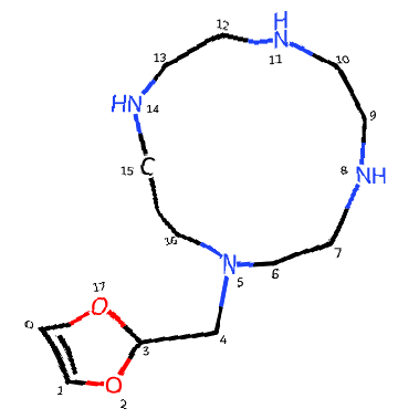 C1=COC(CN2CCNCCNCCNCC2)O1